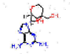 Nc1nc(N)c2ncn([C@@H]3O[C@@]4(CO)CCO[C@@H]3[C@@H]4O)c2n1